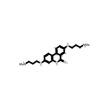 CNCCCOc1ccc2c(c1)oc(=O)c1cc(OCCCNC)ccc12